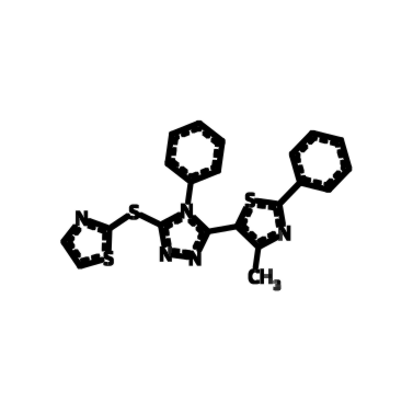 Cc1nc(-c2ccccc2)sc1-c1nnc(Sc2nccs2)n1-c1ccccc1